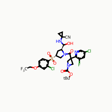 CC(C)(C)OC(=O)N1CC(C(=O)N2C[C@H](S(=O)(=O)c3ccc(OCC(F)(F)F)cc3Cl)C[C@H]2C(O)NC2(C#N)CC2)(c2ncc(Cl)cc2F)C1